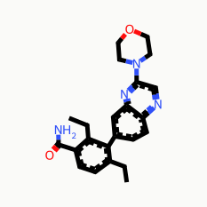 CCc1ccc(C(N)=O)c(CC)c1-c1ccc2ncc(N3CCOCC3)nc2c1